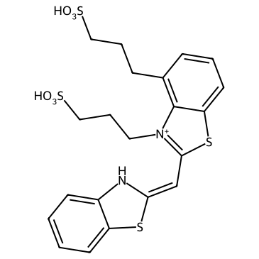 O=S(=O)(O)CCCc1cccc2sc(C=C3Nc4ccccc4S3)[n+](CCCS(=O)(=O)O)c12